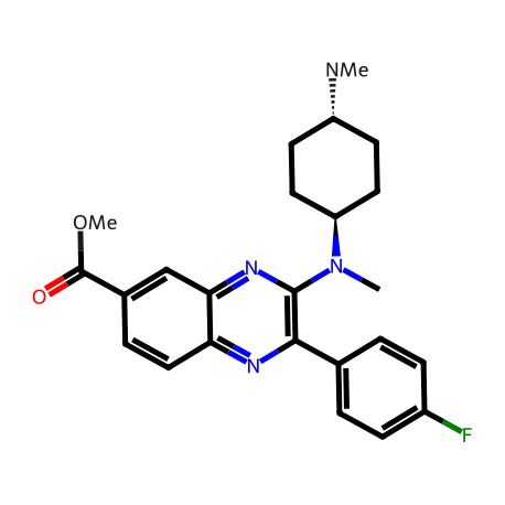 CN[C@H]1CC[C@H](N(C)c2nc3cc(C(=O)OC)ccc3nc2-c2ccc(F)cc2)CC1